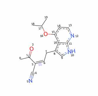 CC(=O)/C(C#N)=C\Cc1c[nH]c2nccc(OC(C)C)c12